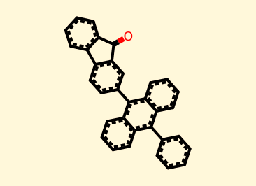 O=C1c2ccccc2-c2ccc(-c3c4ccccc4c(-c4ccccc4)c4ccccc34)cc21